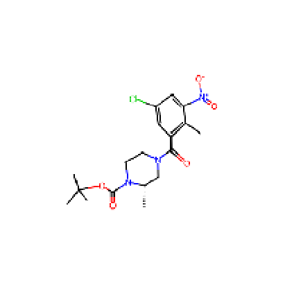 Cc1c(C(=O)N2CCN(C(=O)OC(C)(C)C)[C@@H](C)C2)cc(Cl)cc1[N+](=O)[O-]